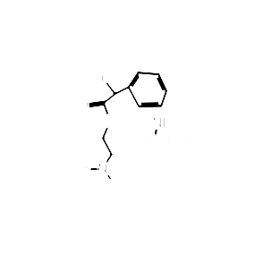 CCC(C(=O)OCCN(CC)CC)c1ccccc1.NC(=O)O